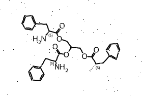 C[C@@H](Cc1ccccc1)C(=O)OCC(COC(=O)[C@@H](N)Cc1ccccc1)OC(=O)[C@@H](N)Cc1ccccc1